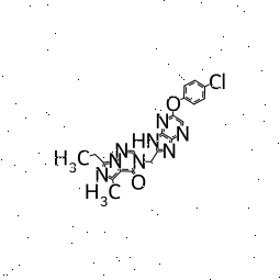 CCc1nc(C)c2c(=O)n(Cc3nc4ncc(Oc5ccc(Cl)cc5)nc4[nH]3)cnn12